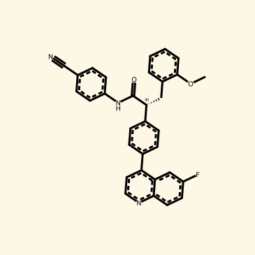 COc1ccccc1C[C@@H](C(=O)Nc1ccc(C#N)cc1)c1ccc(-c2ccnc3ccc(F)cc23)cc1